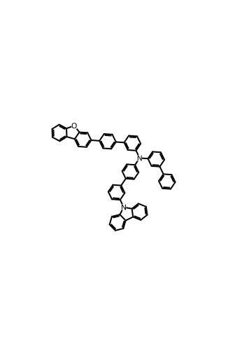 c1ccc(-c2cccc(N(c3ccc(-c4cccc(-n5c6ccccc6c6ccccc65)c4)cc3)c3cccc(-c4ccc(-c5ccc6c(c5)oc5ccccc56)cc4)c3)c2)cc1